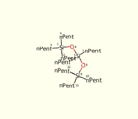 CCCCC[Si](CCCCC)(CCCCC)O[Si](CCCCC)(CCCCC)O[Si](CCCCC)(CCCCC)CCCCC